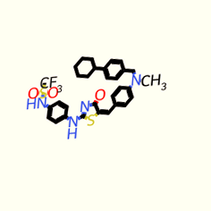 CN(Cc1ccc(C2CCCCC2)cc1)c1ccc(C=C2SC(Nc3ccc(NS(=O)(=O)C(F)(F)F)cc3)=NC2=O)cc1